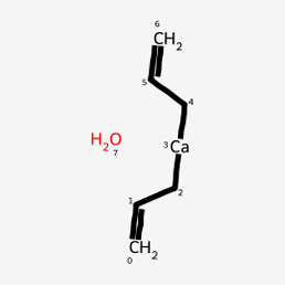 C=C[CH2][Ca][CH2]C=C.O